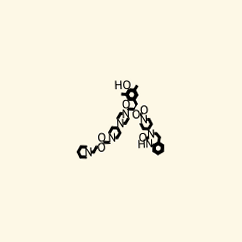 Cc1cc(C[C@@H](OC(=O)N2CCC(N3CCc4ccccc4NC3=O)CC2)C(=O)N2CCN(C3CCN(CC(=O)OCCN4CCCCC4)CC3)CC2)cc(C)c1O